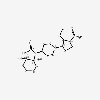 CCC1[C@H](N2CCC(N3C(=O)N[C@H]4CCCC[C@@H]43)CC2)CCN1C(=O)O